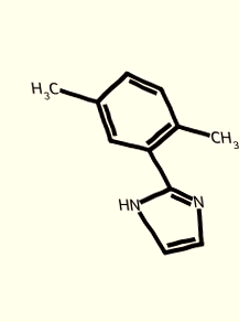 Cc1ccc(C)c(-c2ncc[nH]2)c1